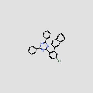 Clc1ccc(-c2nc(-c3ccccc3)nc(-c3ccccc3)n2)c(-c2ccc3ccccc3c2)c1